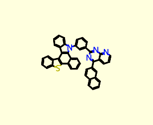 c1cc(-c2nc(-c3ccc4ccccc4c3)c3cccnc3n2)cc(-n2c3ccccc3c3c4c5ccccc5sc4c4ccccc4c32)c1